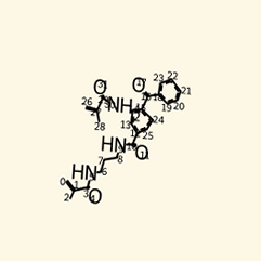 C=C(C)C(=O)NCCCNC(=O)c1ccc(C(=O)c2ccccc2)cc1.C=C(C)C(N)=O